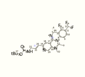 Cc1n/c(=N\[C@H](C)c2cccc(C(F)F)c2F)c2cc(/C=C/CNC(=O)OC(C)(C)C)ncc2n1C